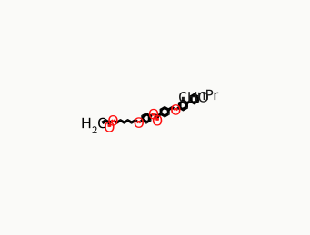 C=CC(=O)OCCCCCCOc1ccc(OC(=O)C2CCC(COc3ccc(-c4ccc(CCC)cc4)c(C=O)c3)CC2)cc1